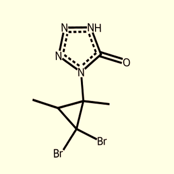 CC1C(Br)(Br)C1(C)n1nn[nH]c1=O